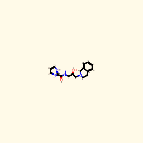 O=C(NCC(O)CN1CCc2ccccc2C1)c1ncccn1